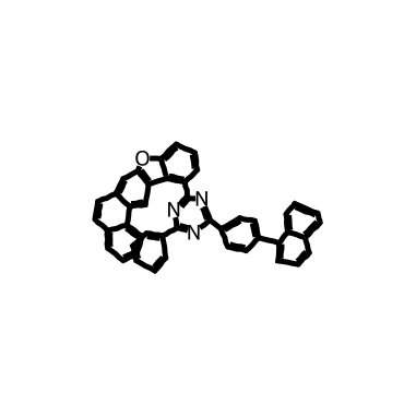 c1ccc(-c2nc(-c3ccc(-c4cccc5ccccc45)cc3)nc(-c3cccc4oc5cc6ccc7ccccc7c6cc5c34)n2)cc1